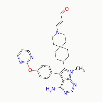 Cn1c(C2CCC3(CC2)CCN(C=CC=O)CC3)c(-c2ccc(Oc3ncccn3)cc2)c2c(N)ncnc21